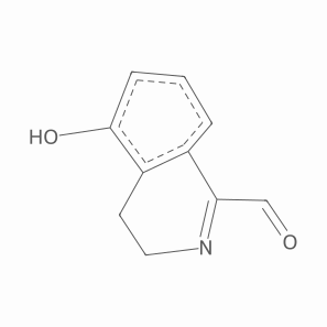 O=CC1=NCCc2c(O)cccc21